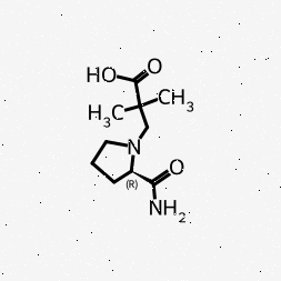 CC(C)(CN1CCC[C@@H]1C(N)=O)C(=O)O